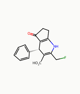 O=C(O)C1=C(CF)NC2=C(C(=O)CC2)[C@H]1c1ccccc1